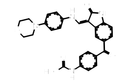 CC(=O)Nc1ccc(C(=O)c2ccc3c(c2)C(=CNc2ccc(N4CCOCC4)cc2)C(=O)N3)cc1